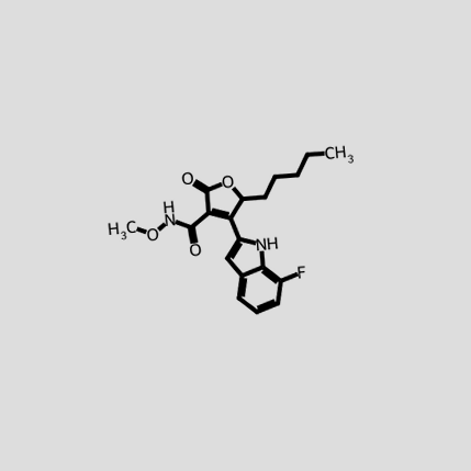 CCCCCC1OC(=O)C(C(=O)NOC)=C1c1cc2cccc(F)c2[nH]1